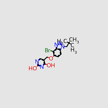 CC(C)(C)Cn1nnc2c(Br)c(OCc3cnc(O)nc3O)ccc21